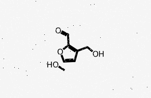 CO.O=Cc1occc1CO